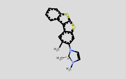 Cc1cc2c(cc1N1C=CN(C)[C@@H]1C)sc1sc3ccccc3c12